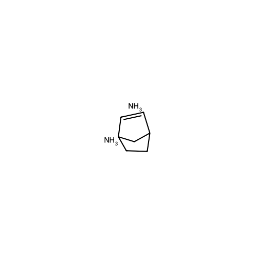 C1=CC2CCC1C2.N.N